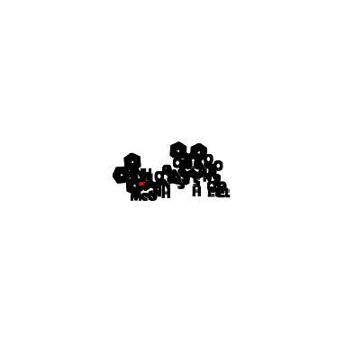 CCOC(Cn1nc(C(S)=CC2=C(C(=O)OC(c3ccccc3)c3ccccc3)N3C(=O)C(NC(=O)C(=NOC)c4csc(NC(c5ccccc5)(c5ccccc5)c5ccccc5)n4)C3SC2)n(C)c(=O)c1=O)OCC